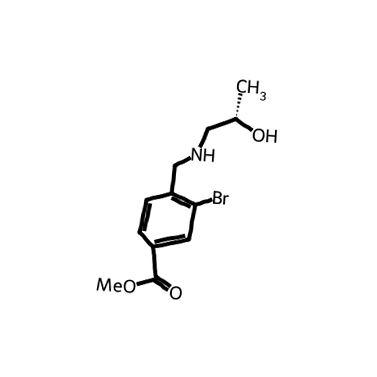 COC(=O)c1ccc(CNC[C@H](C)O)c(Br)c1